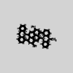 CC(C)c1cc2c3c(cc4c(C(C)C)cc5c6c(cc1c3c46)B1c3ccccc3N(C)c3cccc-5c31)B1c3ccccc3Cc3cccc-2c31